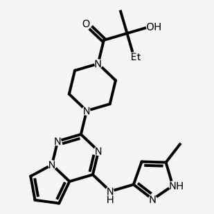 CCC(C)(O)C(=O)N1CCN(c2nc(Nc3cc(C)[nH]n3)c3cccn3n2)CC1